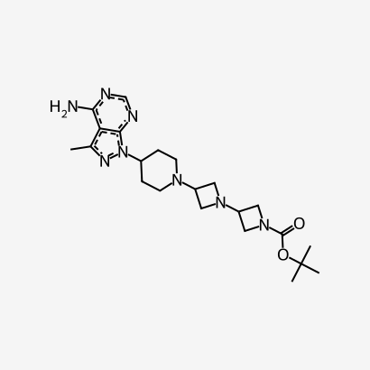 Cc1nn(C2CCN(C3CN(C4CN(C(=O)OC(C)(C)C)C4)C3)CC2)c2ncnc(N)c12